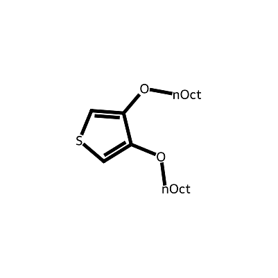 CCCCCCCCOc1cscc1OCCCCCCCC